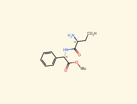 CC(C)(C)OC(=O)[C@@H](NC(=O)[C@@H](N)CC(=O)O)c1ccccc1